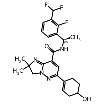 C[C@@H](NC(=O)C1=CC(C2=CCC(O)CC2)=NN2CC(C)(C)N=C12)c1cccc(C(F)F)c1F